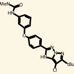 CNC(=O)Nc1cccc(Oc2ccc(-c3nn4nc(C(C)(C)C)c(Cl)c4[nH]3)cc2)c1